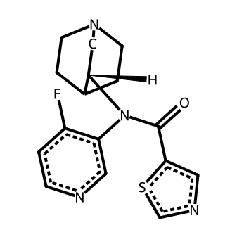 O=C(c1cncs1)N(c1cnccc1F)[C@H]1CN2CCC1CC2